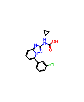 C1CC1.O=C(O)Nc1nc2cccc(-c3cccc(Cl)c3)n2n1